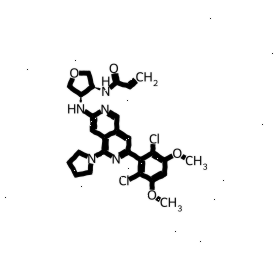 C=CC(=O)N[C@H]1COC[C@H]1Nc1cc2c(N3CCCC3)nc(-c3c(Cl)c(OC)cc(OC)c3Cl)cc2cn1